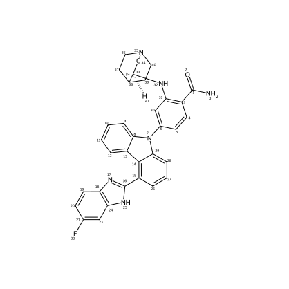 NC(=O)c1ccc(-n2c3ccccc3c3c(-c4nc5ccc(F)cc5[nH]4)cccc32)cc1N[C@@H]1CN2CCC1CC2